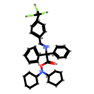 O=C(ON(C1CCCCC1)C1CCCCC1)C(NCc1ccc(C(F)(F)F)cc1)(c1ccccc1)c1ccccc1